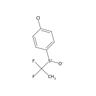 CC(F)(F)[S+]([O-])c1ccc(Cl)cc1